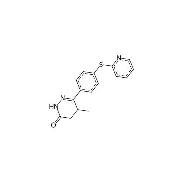 CC1CC(=O)NN=C1c1ccc(Sc2ccccn2)cc1